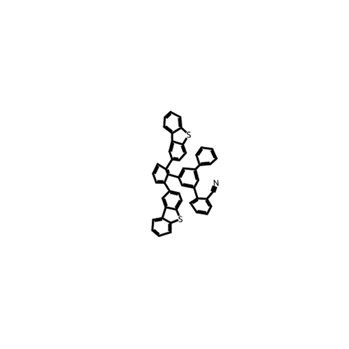 N#Cc1ccccc1-c1cc(-c2ccccc2)cc(-c2c(-c3ccc4sc5ccccc5c4c3)cccc2-c2ccc3sc4ccccc4c3c2)c1